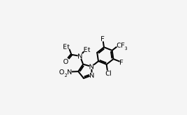 CCC(=O)N(CC)c1c([N+](=O)[O-])cnn1-c1cc(F)c(C(F)(F)F)c(F)c1Cl